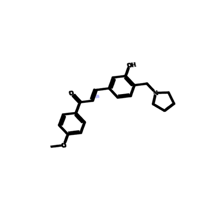 COc1ccc(C(=O)/C=C/c2ccc(CN3CCCC3)c(O)c2)cc1